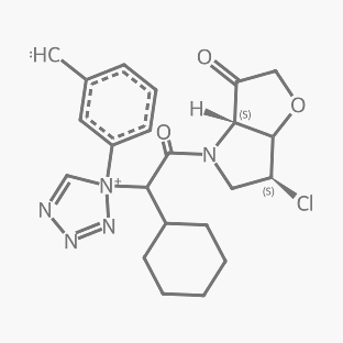 [CH]c1cccc([N+]2(C(C(=O)N3C[C@H](Cl)C4OCC(=O)[C@H]43)C3CCCCC3)C=NN=N2)c1